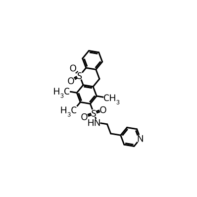 Cc1c(C)c2c(c(C)c1S(=O)(=O)NCCc1ccncc1)Cc1ccccc1S2(=O)=O